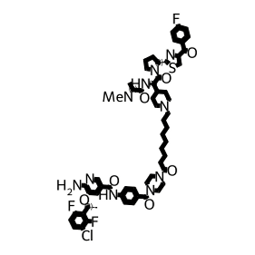 CN[C@H](C)C(=O)N[C@@H](C(=O)N1CCC[C@@H]1C1=NC(C(=O)c2ccc(F)cc2)CS1)C1CCN(CCCCCCCCC(=O)N2CCN(C(=O)c3ccc(NC(=O)c4cnc(N)c(O[C@H](C)c5c(F)ccc(Cl)c5F)c4)cc3)CC2)CC1